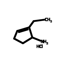 CCC1=CCCC1N.Cl